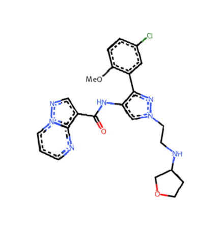 COc1ccc(Cl)cc1-c1nn(CCNC2CCOC2)cc1NC(=O)c1cnn2cccnc12